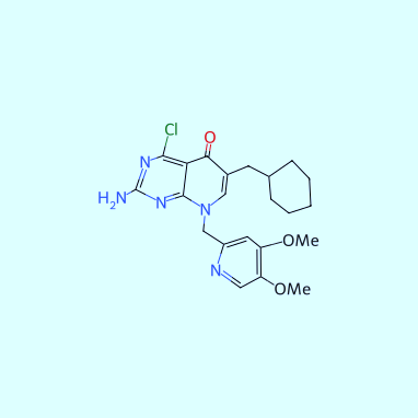 COc1cnc(Cn2cc(CC3CCCCC3)c(=O)c3c(Cl)nc(N)nc32)cc1OC